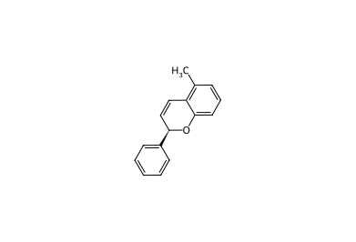 Cc1cccc2c1C=C[C@H](c1ccccc1)O2